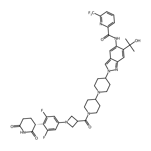 CC(C)(O)c1cc2nn(C3CCN(C4CCN(C(=O)C5CN(c6cc(F)c([C@H]7CCC(=O)NC7=O)c(F)c6)C5)CC4)CC3)cc2cc1NC(=O)c1cccc(C(F)(F)F)n1